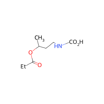 CCC(=O)OC(C)CCNC(=O)O